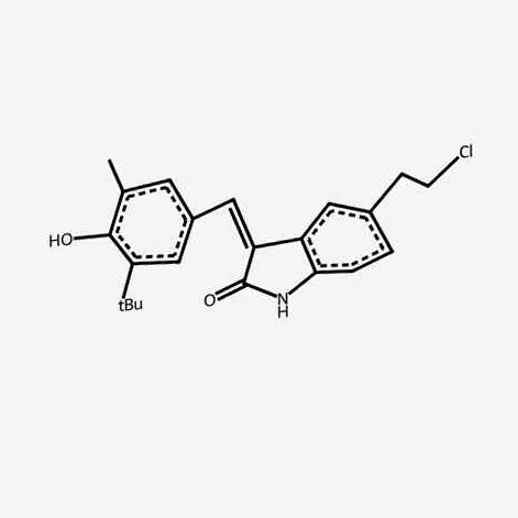 Cc1cc(C=C2C(=O)Nc3ccc(CCCl)cc32)cc(C(C)(C)C)c1O